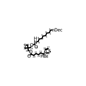 Br.CCCCCCCCCCCCCCCCCCNC(=O)OCC1(COC(=O)CCCCCN2C=CSC2)CSC1